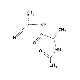 CC(=O)N[C@@H](C)C(=O)N[C@@H](C)C#N